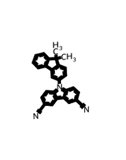 CC1(C)c2ccccc2-c2cc(-n3c4ccc(C#N)cc4c4cc(C#N)ccc43)ccc21